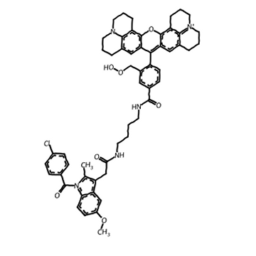 COc1ccc2c(c1)c(CC(=O)NCCCCNC(=O)c1ccc(C3=c4cc5c6c(c4Oc4c3cc3c7c4CCCN7CCC3)CCC[N+]=6CCC5)c(COO)c1)c(C)n2C(=O)c1ccc(Cl)cc1